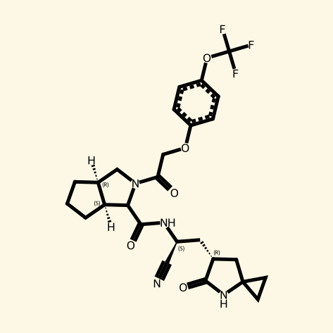 N#C[C@H](C[C@@H]1CC2(CC2)NC1=O)NC(=O)C1[C@H]2CCC[C@H]2CN1C(=O)COc1ccc(OC(F)(F)F)cc1